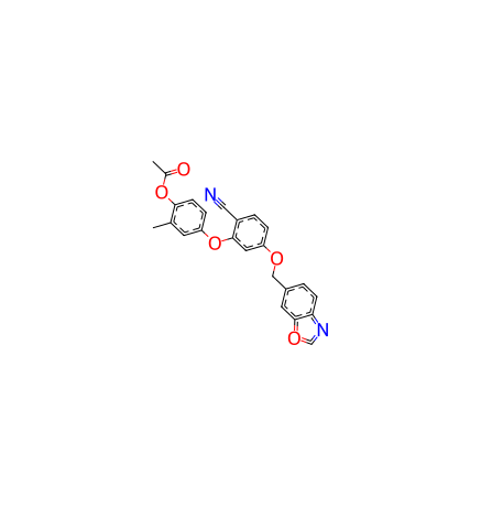 CC(=O)Oc1ccc(Oc2cc(OCc3ccc4ncoc4c3)ccc2C#N)cc1C